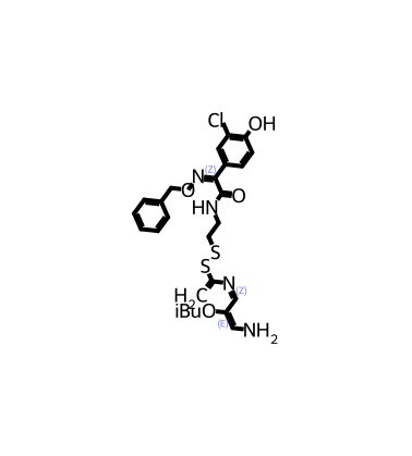 C=C(/N=C\C(=C/N)OCC(C)C)SSCCNC(=O)/C(=N\OCc1ccccc1)c1ccc(O)c(Cl)c1